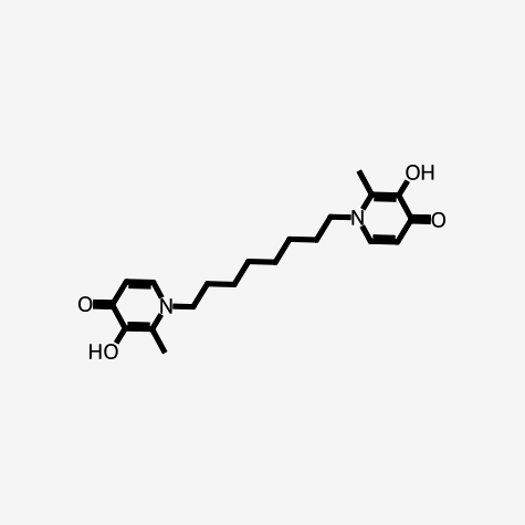 Cc1c(O)c(=O)ccn1CCCCCCCCn1ccc(=O)c(O)c1C